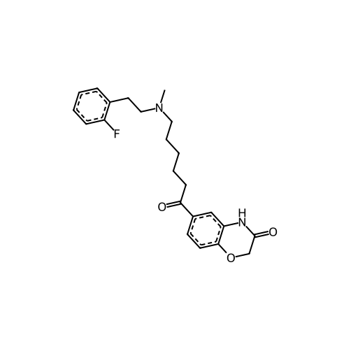 CN(CCCCCC(=O)c1ccc2c(c1)NC(=O)CO2)CCc1ccccc1F